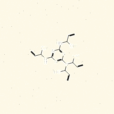 C=CC(O)Nc1nc(NC(O)C=C)nc(N(C(O)C=C)C(O)C=C)n1